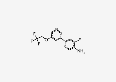 Nc1ccc(-c2cncc(OCC(F)(F)F)c2)cc1F